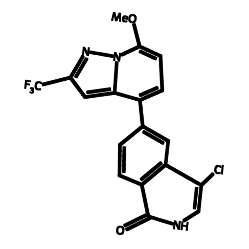 COc1ccc(-c2ccc3c(=O)[nH]cc(Cl)c3c2)c2cc(C(F)(F)F)nn12